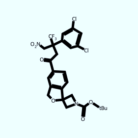 CC(C)(C)OC(=O)N1CC2(C1)OCc1cc(C(=O)CC(C[N+](=O)[O-])(c3cc(Cl)cc(Cl)c3)C(F)(F)F)ccc12